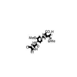 CCc1[nH]c(C(=O)N[C@@H]2CCN(c3nc(C(=O)O)c(/C(C)=N\OC)s3)C[C@@H]2OC)nc1Cl